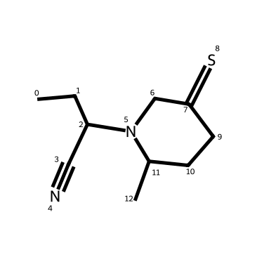 CCC(C#N)N1CC(=S)CCC1C